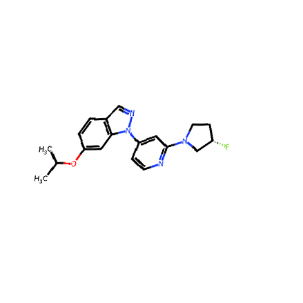 CC(C)Oc1ccc2cnn(-c3ccnc(N4CC[C@H](F)C4)c3)c2c1